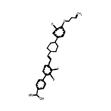 C=CCCOc1ccc(C2CCC(/C=C/c3ccc(-c4ccc(C(O)CCC)cc4)c(F)c3F)CC2)cc1F